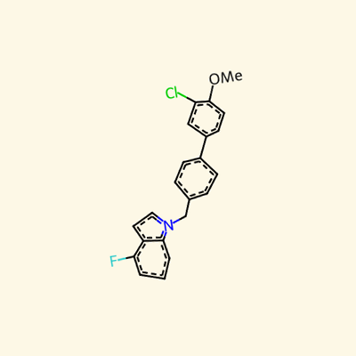 COc1ccc(-c2ccc(Cn3ccc4c(F)cccc43)cc2)cc1Cl